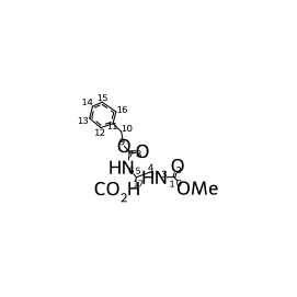 COC(=O)NCC(NC(=O)OCc1ccccc1)C(=O)O